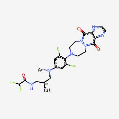 CC(=O)N(C[C@@H](C)CNC(=O)C(F)F)c1cc(F)c(N2CCn3c(=O)c4nccnc4c(=O)n3CC2)c(F)c1